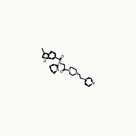 Cc1c[nH]c2cc(C(=O)N(CC(=O)N3CCN(CCc4ccncc4)CC3)c3ccccn3)ccc12